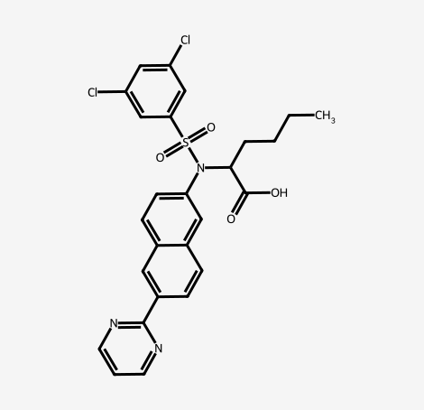 CCCCC(C(=O)O)N(c1ccc2cc(-c3ncccn3)ccc2c1)S(=O)(=O)c1cc(Cl)cc(Cl)c1